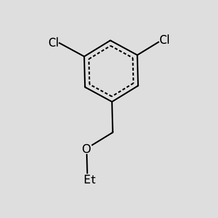 CCOCc1cc(Cl)cc(Cl)c1